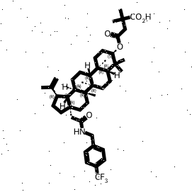 C=C(C)[C@@H]1CC[C@]2(CC(=O)NCc3ccc(C(F)(F)F)cc3)CC[C@]3(C)[C@H](CC[C@@H]4[C@@]5(C)CC[C@H](OC(=O)CC(C)(C)C(=O)O)C(C)(C)[C@@H]5CC[C@]43C)[C@@H]12